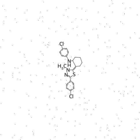 CN1N=C(c2ccc(Cl)cc2)S/C1=C1\CCCCC1Nc1ccc(Cl)cc1